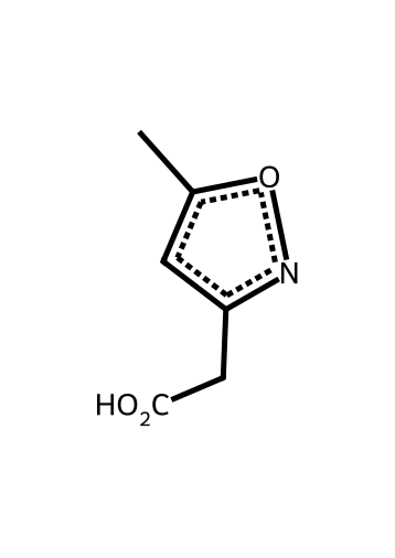 Cc1cc(CC(=O)O)no1